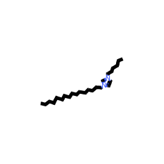 CCCCCCCCCCCCCCCC[n+]1ccn(CCCCCC)c1